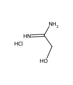 Cl.N=C(N)CO